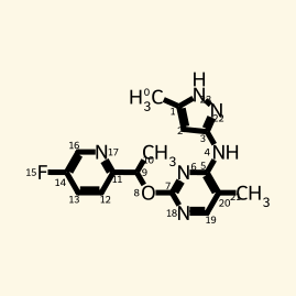 Cc1cc(Nc2nc(OC(C)c3ccc(F)cn3)ncc2C)n[nH]1